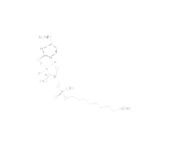 CCCCCCCCCCCCCCCCCCOP(=O)(O)OC[C@H]1O[C@@H](n2ccc(NC(C)=O)nc2=O)C(F)(F)[C@@H]1O